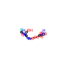 O=C1CCC(N2C(=O)c3ccc(OCCOCCOCCN4CCN(Cc5ccc6c(c5)nc(NC(=O)c5cccc(C(F)(F)F)c5)n6[C@H]5CC[C@@H](CO)CC5)CC4)cc3C2=O)C(=O)N1